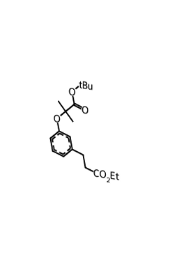 CCOC(=O)CCc1cccc(OC(C)(C)C(=O)OC(C)(C)C)c1